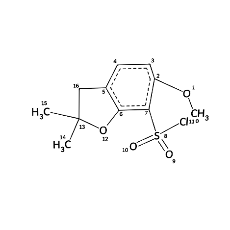 COc1ccc2c(c1S(=O)(=O)Cl)OC(C)(C)C2